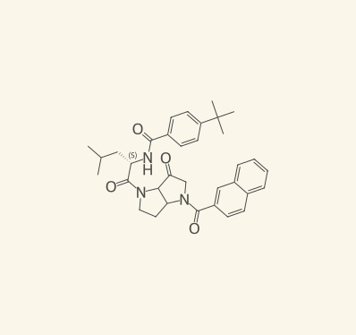 CC(C)C[C@H](NC(=O)c1ccc(C(C)(C)C)cc1)C(=O)N1CCC2C1C(=O)CN2C(=O)c1ccc2ccccc2c1